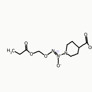 CCC(=O)OCO/N=[N+](\[O-])N1CCC(C(=O)O)CC1